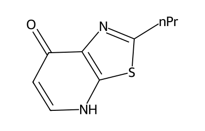 CCCc1nc2c(=O)cc[nH]c2s1